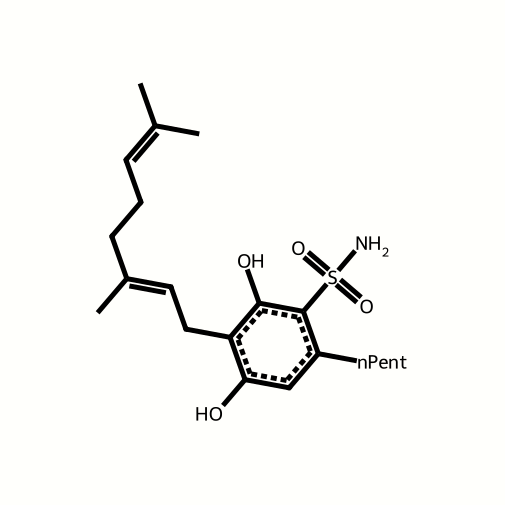 CCCCCc1cc(O)c(C/C=C(\C)CCC=C(C)C)c(O)c1S(N)(=O)=O